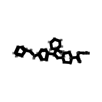 CCCCOC(=O)N1CCN(CC(c2ccc(OCc3ccccc3)cc2)C2(O)CCCCC2)CC1